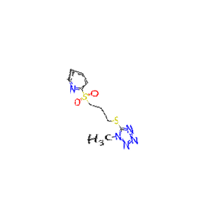 Cn1nnnc1SCCCS(=O)(=O)c1ccccn1